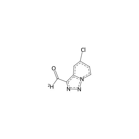 [2H]C(=O)c1nnn2ccc(Cl)cc12